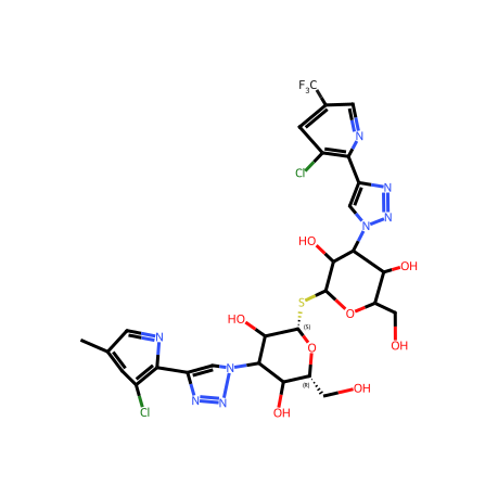 Cc1cnc(-c2cn(C3C(O)[C@@H](CO)O[C@@H](SC4OC(CO)C(O)C(n5cc(-c6ncc(C(F)(F)F)cc6Cl)nn5)C4O)C3O)nn2)c(Cl)c1